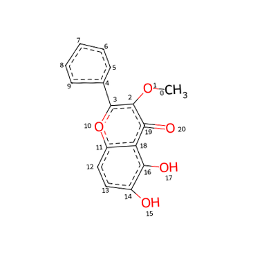 COc1c(-c2ccccc2)oc2ccc(O)c(O)c2c1=O